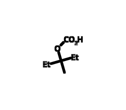 CCC(C)(CC)OC(=O)O